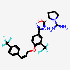 NC(N)N1CCC[C@H]1c1nc(-c2ccc(OC/C=C\c3ccc(C(F)(F)F)cc3)c(C(F)(F)F)c2)no1